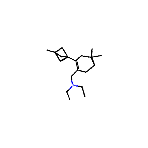 CCN(CC)CC1=C(C23CC(C)(C2)C3)CC(C)(C)CC1